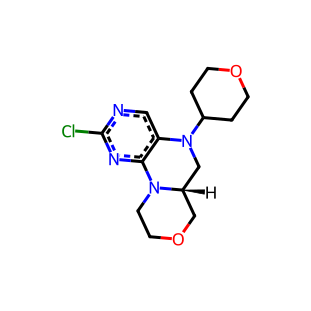 Clc1ncc2c(n1)N1CCOC[C@H]1CN2C1CCOCC1